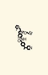 CC(c1ccncc1)c1ccc(C(=O)Nc2cc3c(cn2)cc(CN2CCC[C@@H]2C)n3COCC[Si](C)(C)C)cc1